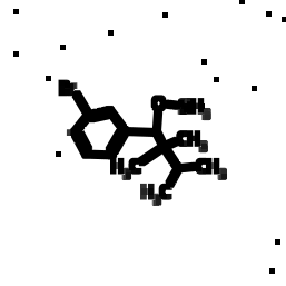 CC(C)C(C)(C)C(O[SiH3])c1cc[c]c(Br)c1